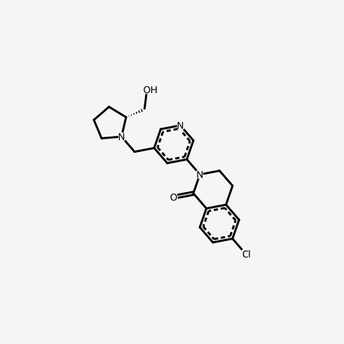 O=C1c2ccc(Cl)cc2CCN1c1cncc(CN2CCC[C@@H]2CO)c1